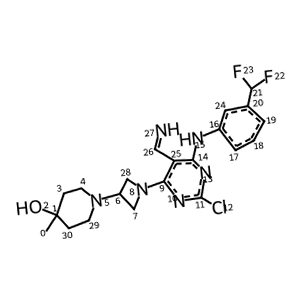 CC1(O)CCN(C2CN(c3nc(Cl)nc(Nc4cccc(C(F)F)c4)c3C=N)C2)CC1